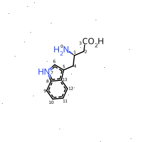 N[C@@H](CC(=O)O)Cc1c[nH]c2ccccc12